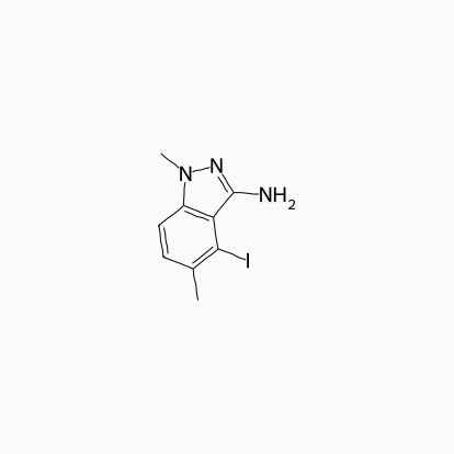 Cc1ccc2c(c(N)nn2C)c1I